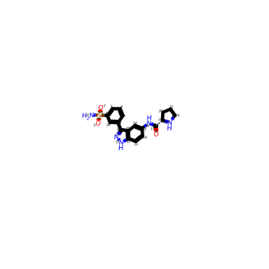 NS(=O)(=O)c1cccc(-c2n[nH]c3ccc(NC(=O)[C@@H]4CCCN4)cc23)c1